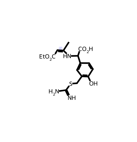 CCOC(=O)/C=C(/C)NC(C(=O)O)c1ccc(O)c(CSC(=N)N)c1